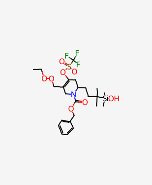 CCOOCC1=C(OS(=O)(=O)C(F)(F)F)CC(CCC(C)(C)[Si](C)(C)O)N(C(=O)OCc2ccccc2)C1